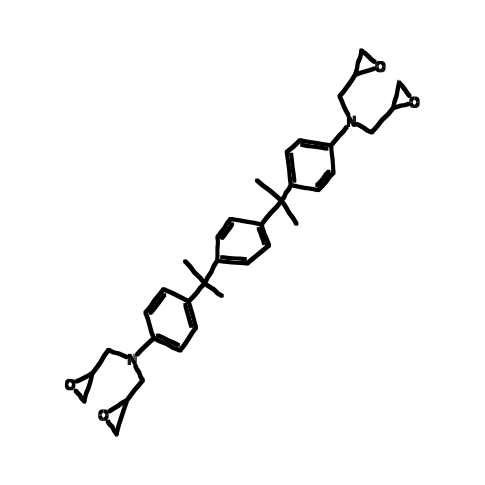 CC(C)(c1ccc(N(CC2CO2)CC2CO2)cc1)c1ccc(C(C)(C)c2ccc(N(CC3CO3)CC3CO3)cc2)cc1